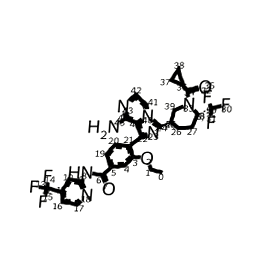 CCOc1cc(C(=O)Nc2cc(C(F)(F)F)ccn2)ccc1-c1nc([C@@H]2CC[C@@H](C(F)(F)F)N(C(=O)C3CC3)C2)n2ccnc(N)c12